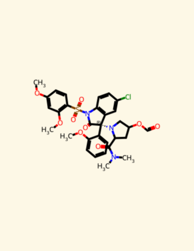 COc1ccc(S(=O)(=O)N2C(=O)[C@@](c3ccccc3OC)(N3CC(OC=O)CC3C(=O)N(C)C)c3cc(Cl)ccc32)c(OC)c1